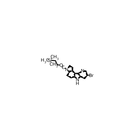 C[Si](C)(C)CCOCn1ccc2c3c(ccc21)[nH]c1cc(Br)cnc13